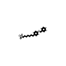 O=S(=O)(F)CCCCCCCc1ccc(OCc2ccccc2)cc1